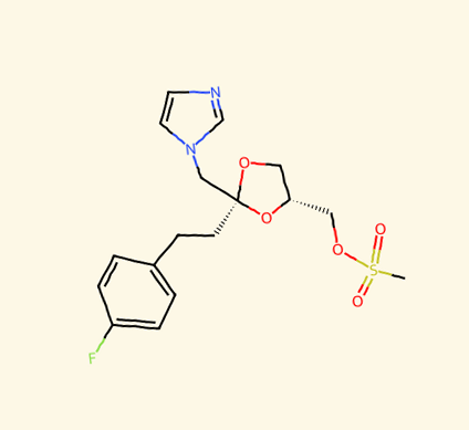 CS(=O)(=O)OC[C@H]1CO[C@](CCc2ccc(F)cc2)(Cn2ccnc2)O1